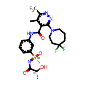 Cc1c(C(F)(F)F)nnc(N2CCCC(F)(F)CC2)c1C(=O)Nc1cccc([S@@](C)(=O)=NC(=O)[C@@H](C)O)c1